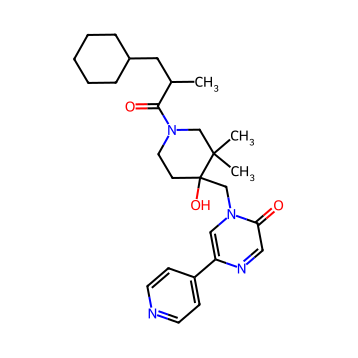 CC(CC1CCCCC1)C(=O)N1CCC(O)(Cn2cc(-c3ccncc3)ncc2=O)C(C)(C)C1